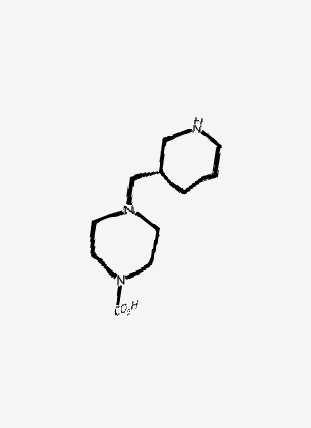 O=C(O)N1CCN(C[C@@H]2CCCNC2)CC1